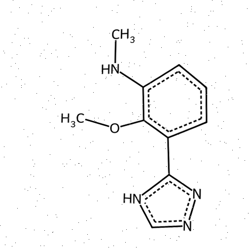 CNc1cccc(-c2nnc[nH]2)c1OC